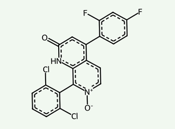 O=c1cc(-c2ccc(F)cc2F)c2cc[n+]([O-])c(-c3c(Cl)cccc3Cl)c2[nH]1